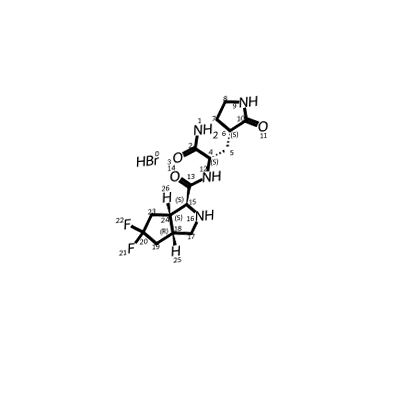 Br.NC(=O)[C@H](C[C@@H]1CCNC1=O)NC(=O)[C@H]1NC[C@@H]2CC(F)(F)C[C@@H]21